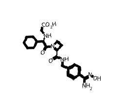 N/C(=N\O)c1ccc(CNC(=O)[C@@H]2CCN2C(=O)[C@H](NCC(=O)O)C2CCCCC2)cc1